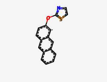 [c]1c(Oc2nccs2)ccc2cc3ccccc3cc12